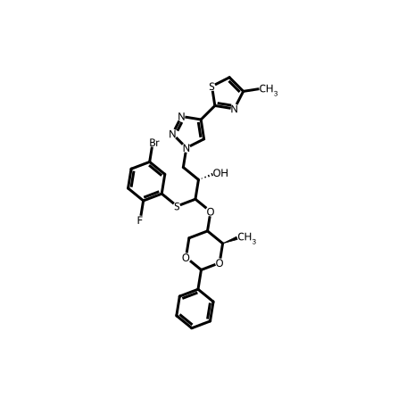 Cc1csc(-c2cn(C[C@H](O)C(OC3COC(c4ccccc4)O[C@@H]3C)Sc3cc(Br)ccc3F)nn2)n1